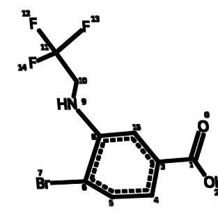 O=C(O)c1ccc(Br)c(NCC(F)(F)F)c1